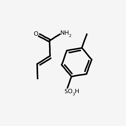 CC=CC(N)=O.Cc1ccc(S(=O)(=O)O)cc1